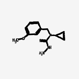 COc1cccc(CN(C(=S)NN)C2CC2)c1